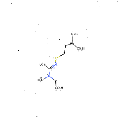 CN/C(=N\SCCC(NC)C(=O)O)N(C)CC(=O)O